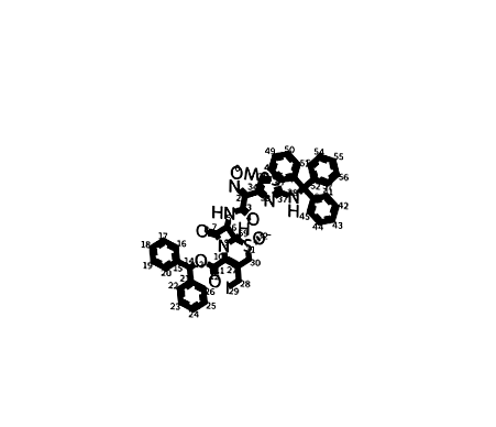 CON=C(C(=O)NC1C(=O)N2C(C(=O)OC(c3ccccc3)c3ccccc3)=C(CI)C[S+]([O-])[C@@H]12)c1csc(NC(c2ccccc2)(c2ccccc2)c2ccccc2)n1